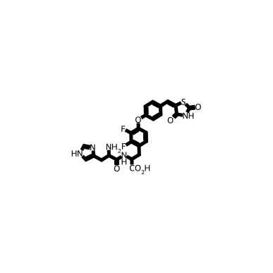 NC(Cc1c[nH]cn1)C(=O)NC(Cc1ccc(Oc2ccc(C=C3SC(=O)NC3=O)cc2)c(F)c1F)C(=O)O